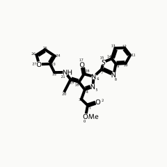 COC(=O)CC1=NN(c2nc3ccccc3s2)C(=O)C1=C(C)NCc1ccco1